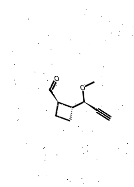 C#C[C@H](OC)[C@@H]1CC[C@H]1C=O